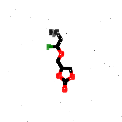 O=C1OCC(COC(F)CC(F)(F)F)O1